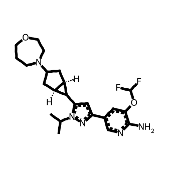 CC(C)n1nc(-c2cnc(N)c(OC(F)F)c2)cc1C1[C@H]2CC(N3CCCOCC3)C[C@@H]12